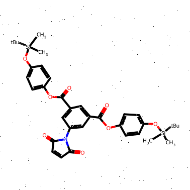 CC(C)(C)[Si](C)(C)Oc1ccc(OC(=O)c2cc(C(=O)Oc3ccc(O[Si](C)(C)C(C)(C)C)cc3)cc(N3C(=O)C=CC3=O)c2)cc1